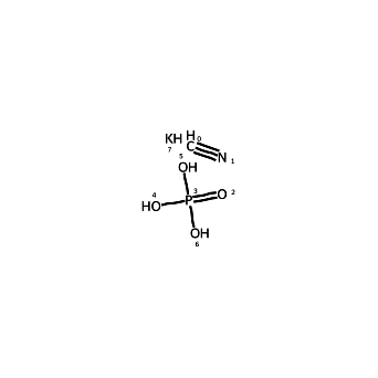 C#N.O=P(O)(O)O.[KH]